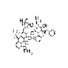 COc1cccc2c1C(=O)c1c(O)c3c(c(O)c1C2=O)C[C@@](O)(C(C)=O)C[C@@H]3OC1CC(N(Cc2ccccc2)Cc2ccccc2)C(O)C(C)O1